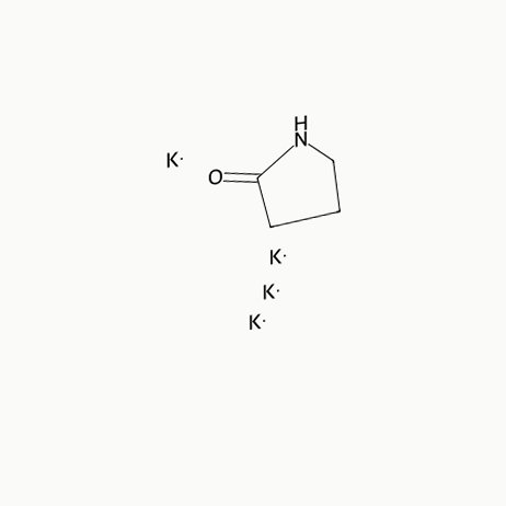 O=C1CCCN1.[K].[K].[K].[K]